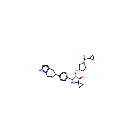 O=C(C1CC1)N1CC[C@H](CN2C(=O)C3(CC3)NC2c2ccc(C3C=Cc4[nH]ccc4C3)cc2)C1